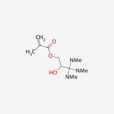 C=C(C)C(=O)OCC(O)C(NC)(NC)NC